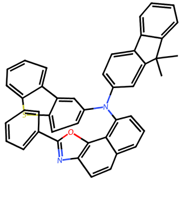 CC1(C)c2ccccc2-c2ccc(N(c3ccc4sc5ccccc5c4c3)c3cccc4ccc5nc(-c6ccccc6)oc5c34)cc21